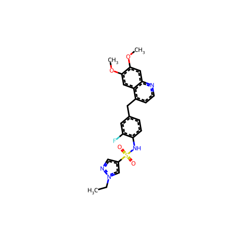 CCn1cc(S(=O)(=O)Nc2ccc(Cc3ccnc4cc(OC)c(OC)cc34)cc2F)cn1